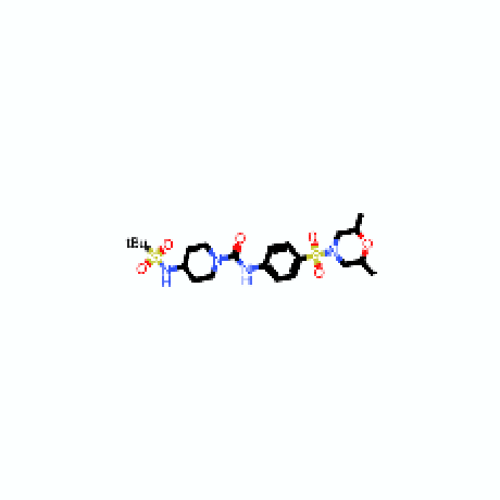 CC1CN(S(=O)(=O)c2ccc(NC(=O)N3CCC(NS(=O)(=O)C(C)(C)C)CC3)cc2)CC(C)O1